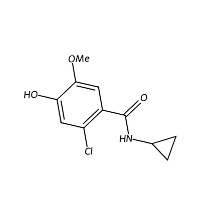 COc1cc(C(=O)NC2CC2)c(Cl)cc1O